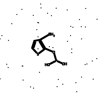 Cc1ccsc1OP(O)O